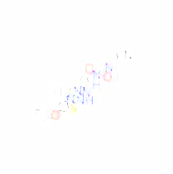 Cn1c(Nc2nc3ccc(OC(F)(F)F)cc3s2)nc2cc(C(=O)NCC(=O)N3CCC(C#N)CC3)ccc21